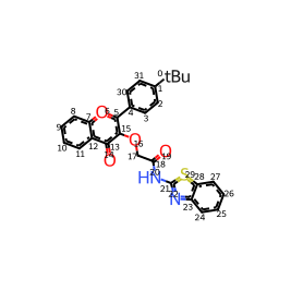 CC(C)(C)c1ccc(-c2oc3ccccc3c(=O)c2OCC(=O)Nc2nc3ccccc3s2)cc1